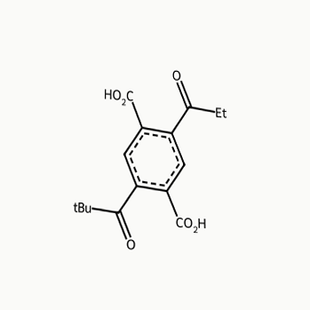 CCC(=O)c1cc(C(=O)O)c(C(=O)C(C)(C)C)cc1C(=O)O